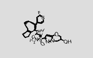 NS(=O)(=NC(=O)Nc1c(-c2ccnc(F)c2)ccc2c1CCC2)c1cc2n(n1)CC(O)CO2